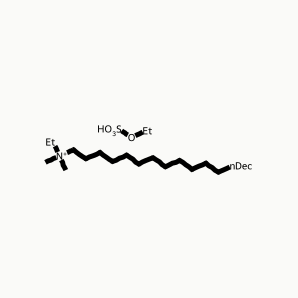 CCCCCCCCCCCCCCCCCCCCCC[N+](C)(C)CC.CCOS(=O)(=O)O